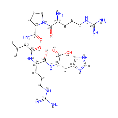 CC(C)[C@H](NC(=O)[C@@H]1CCCN1C(=O)[C@@H](N)CCCNC(=N)N)C(=O)N[C@@H](CCCNC(=N)N)C(=O)N[C@@H](Cc1c[nH]cn1)C(=O)O